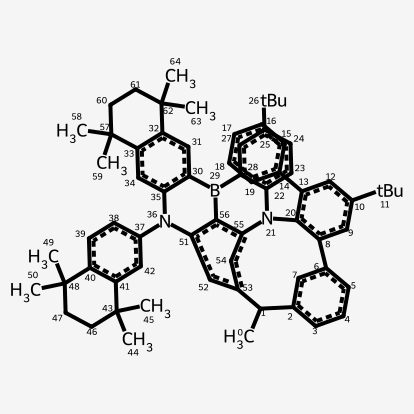 CC1c2cccc(c2)-c2cc(C(C)(C)C)cc(-c3ccccc3)c2N2c3ccc(C(C)(C)C)cc3B3c4cc5c(cc4N(c4ccc6c(c4)C(C)(C)CCC6(C)C)c4cc1cc2c43)C(C)(C)CCC5(C)C